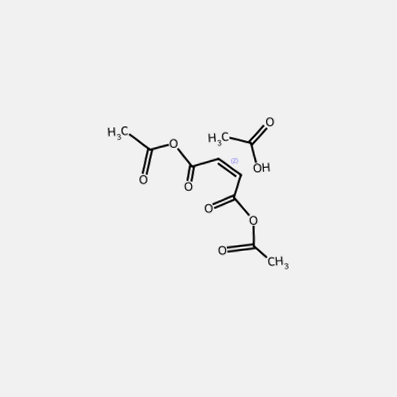 CC(=O)O.CC(=O)OC(=O)/C=C\C(=O)OC(C)=O